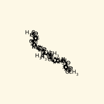 CC(C)(CCC(C)(C)OC(=O)N1CCC2CN(c3ncc(C(=O)c4cccc(S(C)(=O)=O)c4)s3)CC2C1)OC(=O)N1CCN(c2ncc(C(=O)c3cccc(S(C)(=O)=O)c3)s2)CC1